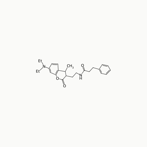 CCN(CC)c1ccc2c(c1)OC(=O)C(CCNC(=O)CCc1ccccc1)C2C